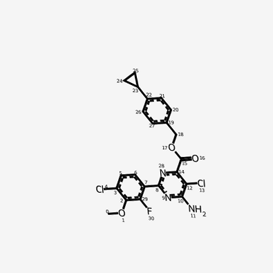 COc1c(Cl)ccc(-c2nc(N)c(Cl)c(C(=O)OCc3ccc(C4CC4)cc3)n2)c1F